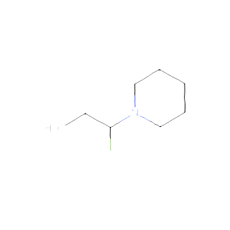 CCC(F)N1CCCCC1